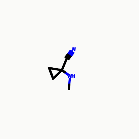 CNC1(C#N)CC1